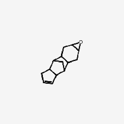 C1=CC2C3CC(C2C1)C1CC2OC2CC31